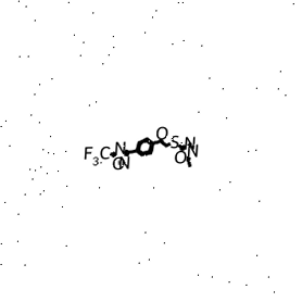 Cc1nnc(SCC(=O)c2ccc(-c3noc(C(F)(F)F)n3)cc2)o1